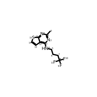 Cc1nc(NCCCC(F)(F)F)c2ccsc2n1